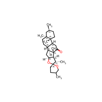 CC1CC[C@@]2(OC1)O[C@H]1C[C@H]3[C@@H]4CC[C@@]5(C)C[C@@H](C)CC[C@]5(C)[C@H]4CC(=O)[C@]3(C)[C@H]1[C@@H]2C